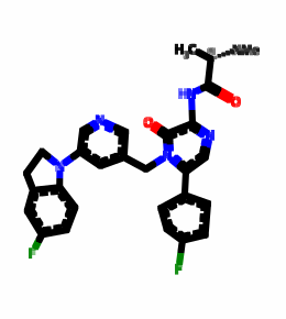 CN[C@@H](C)C(=O)Nc1ncc(-c2ccc(F)cc2)n(Cc2cncc(N3CCc4cc(F)ccc43)c2)c1=O